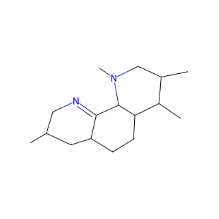 CC1CN=C2C(CCC3C(C)C(C)CN(C)C23)C1